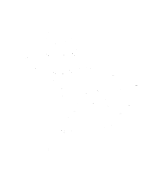 CCNC(=O)COc1cc(Cl)c(-n2c(=O)[nH]c3c(C(C)=O)nc(CO)nc32)cc1OCc1c(OC)ccc(F)c1F